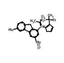 CCC(C)(C)C1=[C]([Zr+2](=[C](C)C)[c]2cc(C(C)(C)C)cc3c2Cc2ccc(C(C)(C)C)cc2-3)CC=C1.[Cl-].[Cl-]